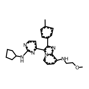 COCCNc1cccn2c(-c3ccnc(NC4CCCC4)n3)c(-c3ccc(C)cc3)nc12